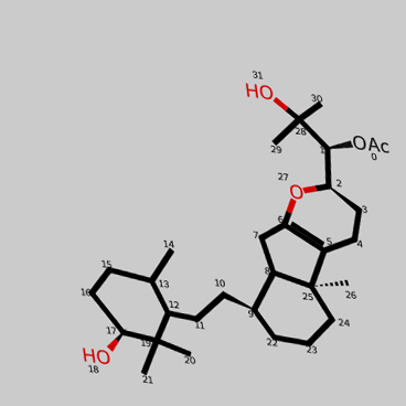 CC(=O)O[C@@H]([C@H]1CCC2=C(CC3[C@H](CCC4C(C)CC[C@H](O)C4(C)C)CCC[C@]23C)O1)C(C)(C)O